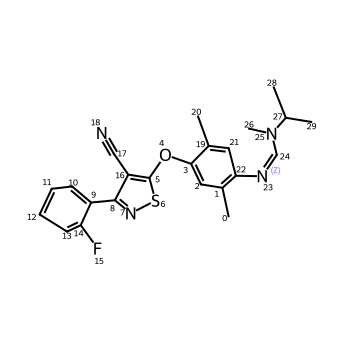 Cc1cc(Oc2snc(-c3ccccc3F)c2C#N)c(C)cc1/N=C\N(C)C(C)C